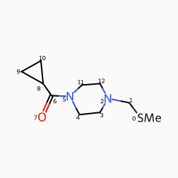 CSCN1CCN(C(=O)C2CC2)CC1